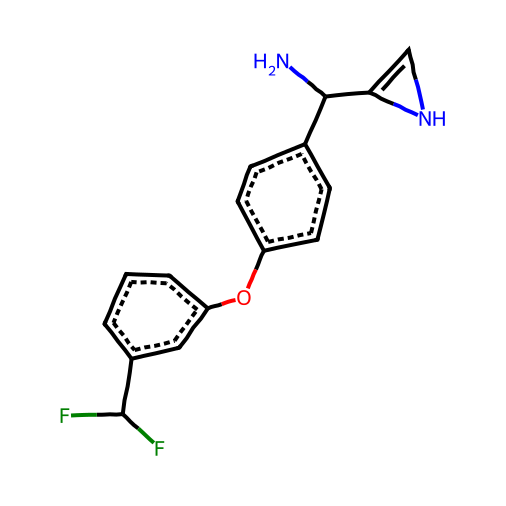 NC(C1=CN1)c1ccc(Oc2cccc(C(F)F)c2)cc1